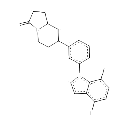 Cc1ccc(F)c2ccn(-c3cccc(C4CCN5C(=O)CCC5C4)c3)c12